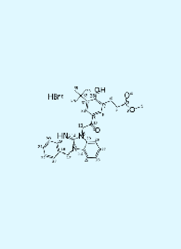 Br.COC(=O)CCc1cc(C(=O)Cn2c(=N)n(Cc3ccccc3)c3ccccc32)cc(C(C)(C)C)c1O